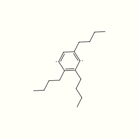 CCCCc1[c]c(CCCC)c(CCCC)[c]c1